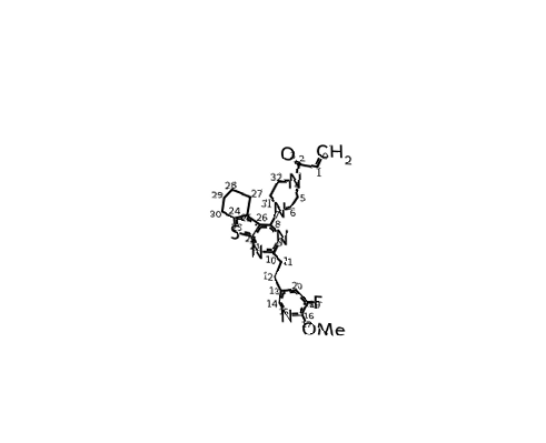 C=CC(=O)N1CCN(c2nc(CCc3cnc(OC)c(F)c3)nc3sc4c(c23)CCCC4)CC1